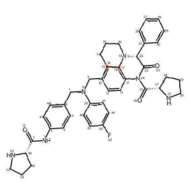 O=C(Nc1ccc(CN(Cc2ccc(N(C(=O)[C@@H]3CCCN3)C(=O)[C@@H](c3ccccc3)N3CCCCC3)cc2)c2ccc(F)cc2)cc1)[C@@H]1CCCN1